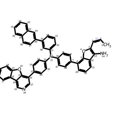 C/C=C\c1oc2c(-c3ccc(N(c4ccc(-c5cncc6c5oc5ccccc56)cc4)c4cccc(-c5ccc6ccccc6c5)c4)cc3)cccc2c1N